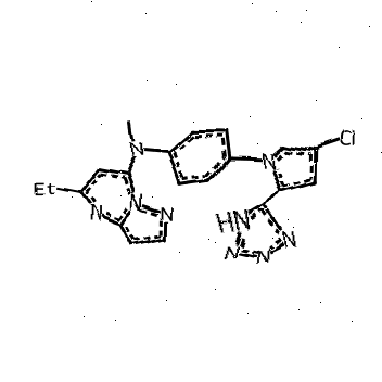 CCc1cc(N(C)c2ccc(-n3cc(Cl)cc3-c3nnn[nH]3)cc2)n2nccc2n1